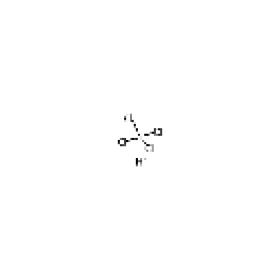 [Cl][Zr]([Cl])([Cl])[Cl].[H-]